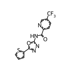 O=C(Nc1nnc(-c2cccs2)o1)c1ccc(C(F)(F)F)cn1